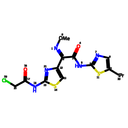 CO/N=C(\C(=O)Nc1ncc(C(C)C)s1)c1csc(NC(=O)CCl)n1